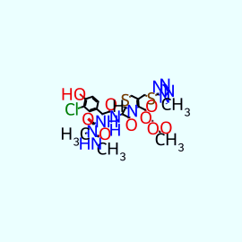 CNC(=O)N(C)C(=O)NC(C(=O)NC1C(=O)N2C(C(=O)OCOC(C)=O)=C(CSc3nnnn3C)CS[C@@H]12)c1ccc(O)c(Cl)c1